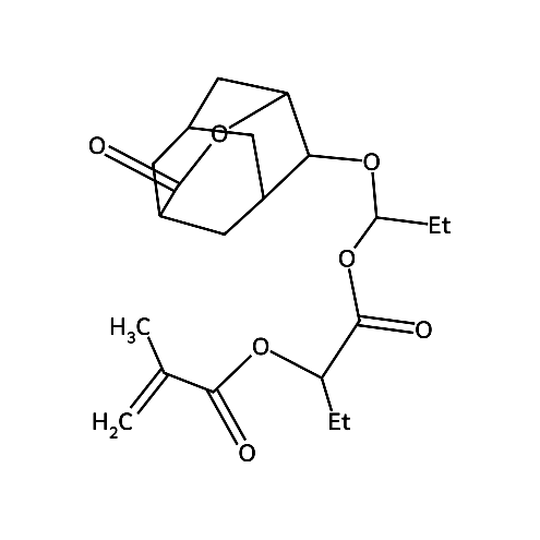 C=C(C)C(=O)OC(CC)C(=O)OC(CC)OC1C2CC3CC(C2)C(=O)OC1C3